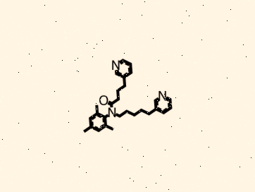 Cc1cc(C)c(N(CCCCCc2cccnc2)C(=O)CCCc2cccnc2)c(C)c1